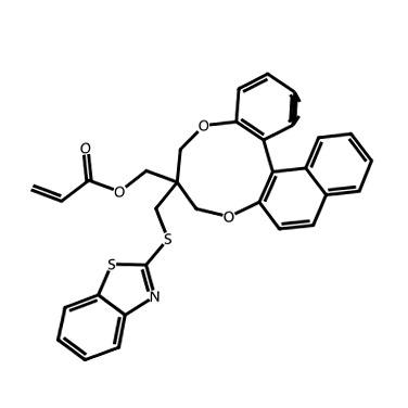 C=CC(=O)OCC1(CSc2nc3ccccc3s2)COc2ccc3ccccc3c2-c2c(ccc3ccccc23)OC1